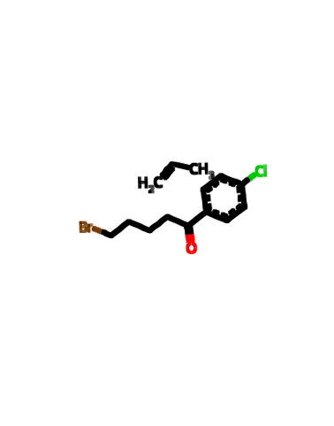 C=CC.O=C(CCCCBr)c1ccc(Cl)cc1